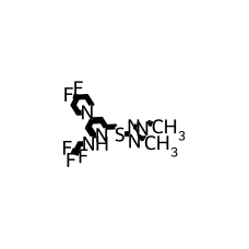 CCn1nc(SCc2cc(N3CCC(F)(F)CC3)cc(NCC(F)(F)F)n2)nc1C